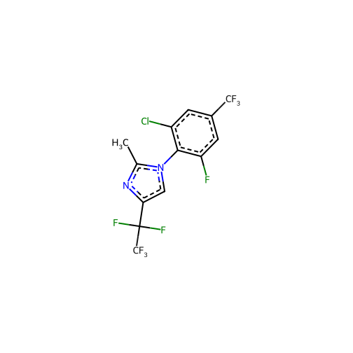 Cc1nc(C(F)(F)C(F)(F)F)cn1-c1c(F)cc(C(F)(F)F)cc1Cl